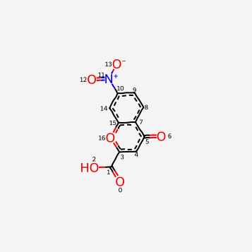 O=C(O)c1cc(=O)c2ccc([N+](=O)[O-])cc2o1